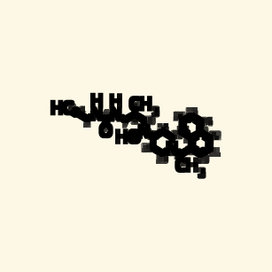 C#CCNC(=O)NCC(C)CN(O)C1CCN(C(C)c2cccc3ccccc23)CC1